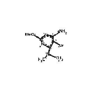 COc1nc(N)c(Br)c(N(C)C)n1